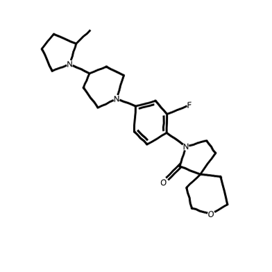 CC1CCCN1C1CCN(c2ccc(N3CCC4(CCOCC4)C3=O)c(F)c2)CC1